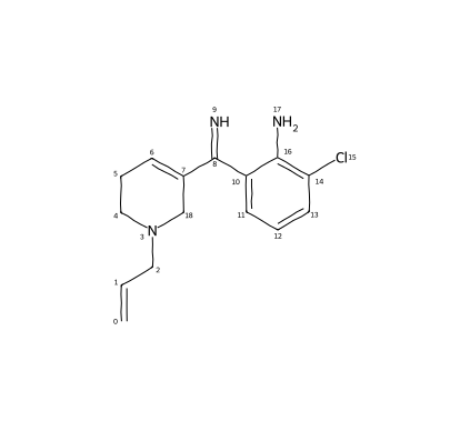 C=CCN1CCC=C(C(=N)c2cccc(Cl)c2N)C1